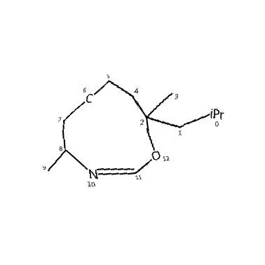 CC(C)CC1(C)CCCCC(C)/N=C\O1